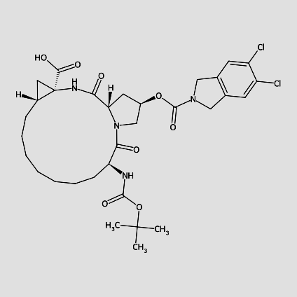 CC(C)(C)OC(=O)N[C@H]1CCCCCCC[C@@H]2C[C@@]2(C(=O)O)NC(=O)[C@@H]2C[C@@H](OC(=O)N3Cc4cc(Cl)c(Cl)cc4C3)CN2C1=O